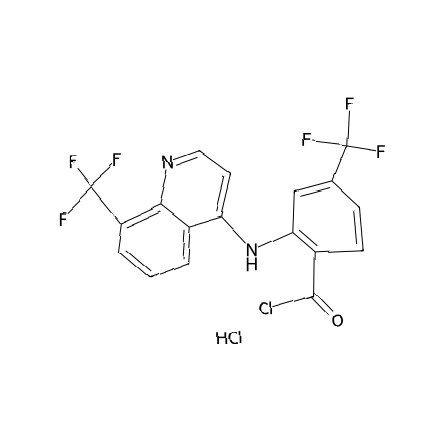 Cl.O=C(Cl)c1ccc(C(F)(F)F)cc1Nc1ccnc2c(C(F)(F)F)cccc12